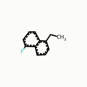 CCc1cccc2c(F)cccc12